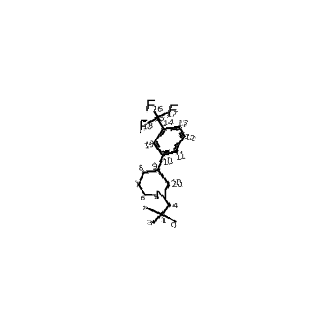 CC(C)(C)CN1CCCC(c2cc[c]c(C(F)(F)F)c2)C1